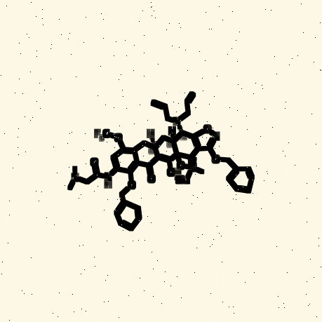 C=CCN(CC=C)[C@@H]1c2onc(OCc3ccccc3)c2C(=O)C2(O[Si](C)(C)C(C)(C)C)C(O)=C3C(=O)c4c(c(OC(F)(F)F)cc(NC(=O)CN(C)C)c4OCc4ccccc4)C[C@H]3C[C@@H]12